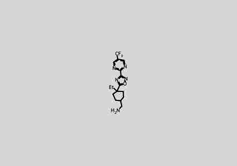 CCC1(c2nc(-c3ncc(C(F)(F)F)cn3)no2)CCC(CN)CC1